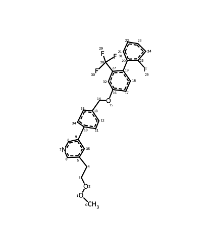 COOCCc1cncc(-c2ccc(COc3ccc(-c4ccccc4F)c(C(F)(F)F)c3)cc2)c1